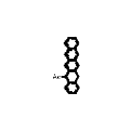 CC(=O)C1c2ccccc2Cc2cc3cc4ccccc4cc3cc21